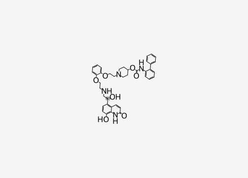 O=C(Nc1ccccc1-c1ccccc1)OC1CCN(CCOc2ccccc2OCCNC[C@H](O)c2ccc(O)c3[nH]c(=O)ccc23)CC1